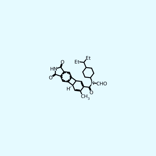 CCC(CC)C1CCC(N(C=O)C(=O)C2=CC3c4cc5c(cc4[C@@H]3C=C2C)C(=O)NC5=O)CC1